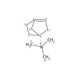 C1=C2CCC(C1)C2.CN(C)C